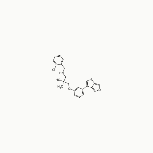 C[C@](O)(CNCc1ccccc1Cl)COc1cccc(-c2csc3cocc23)c1